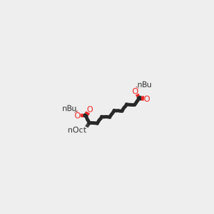 CCCCCCCCC(CCCCCCCC(=O)OCCCC)C(=O)OCCCC